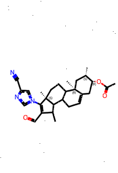 CC(=O)O[C@@H]1CC2=CCC3C(CC[C@]4(C)C(n5cnc(C#N)c5)=C(C=O)C(C)C34)[C@@]2(C)C[C@@H]1C